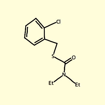 CCN(CC)C(=O)SCc1ccccc1Cl